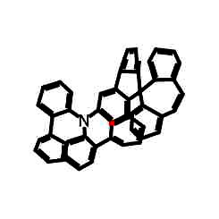 C1=Cc2ccccc2C2(c3ccccc31)c1ccccc1-c1cc(N(c3ccccc3-c3ccccc3)c3ccccc3-c3ccccc3)ccc12